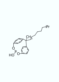 CC(C)CCCCCCC1(C)c2ccc(cc2)OP(O)Oc2ccc1cc2